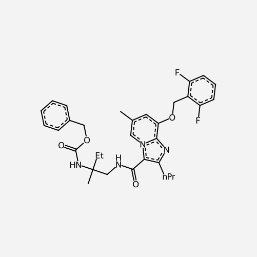 CCCc1nc2c(OCc3c(F)cccc3F)cc(C)cn2c1C(=O)NCC(C)(CC)NC(=O)OCc1ccccc1